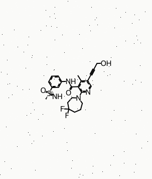 Cc1c(C#CCO)cnc(N2CCCC(F)(F)CC2)c1C(=O)Nc1cccc([S@](C)(=N)=O)c1